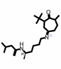 C=C(CC(C)C)N[C@H](C)CCCC/N=C1/CCC(C)C(=O)C(C(C)(C)C)C1